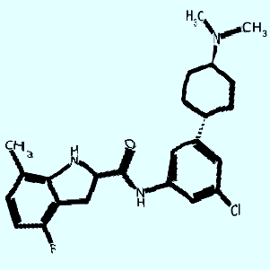 Cc1ccc(F)c2c1NC(C(=O)Nc1cc(Cl)cc([C@H]3CC[C@H](N(C)C)CC3)c1)C2